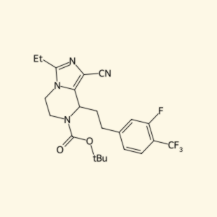 CCc1nc(C#N)c2n1CCN(C(=O)OC(C)(C)C)C2CCc1ccc(C(F)(F)F)c(F)c1